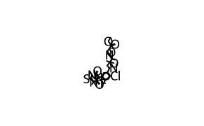 COC(=O)CON=C(C)C1(C)CC(c2cc(-n3c(=O)n(C)c(=S)n(C)c3=O)c(F)cc2Cl)=NO1